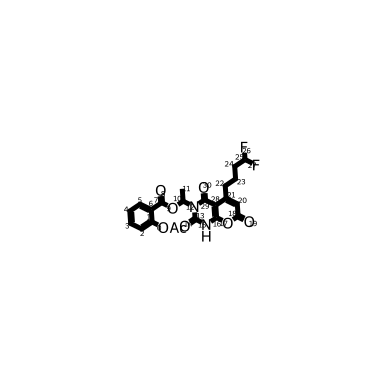 CC(=O)Oc1ccccc1C(=O)OC(C)n1c(=O)[nH]c2oc(=O)cc(CCCC(F)F)c2c1=O